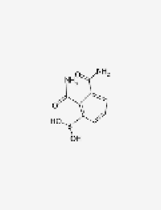 NC(=O)c1cccc(B(O)O)c1C(N)=O